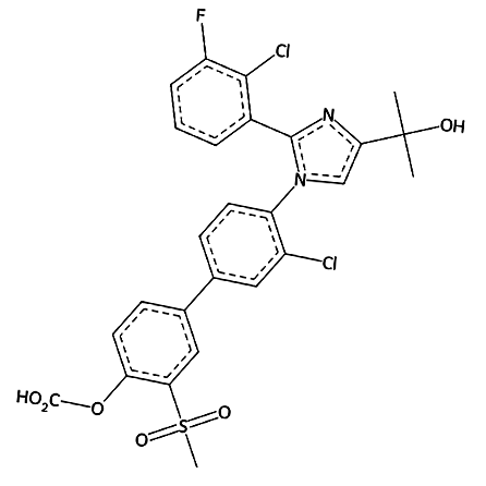 CC(C)(O)c1cn(-c2ccc(-c3ccc(OC(=O)O)c(S(C)(=O)=O)c3)cc2Cl)c(-c2cccc(F)c2Cl)n1